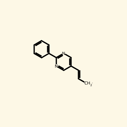 [CH2]/C=C/c1cnc(-c2ccccc2)nc1